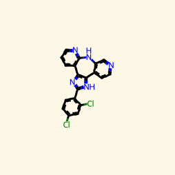 Clc1ccc(-c2nc3c([nH]2)-c2ccncc2Nc2ncccc2-3)c(Cl)c1